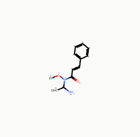 CCON(C(=O)C=Cc1ccccc1)C(N)[C]=O